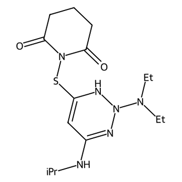 CCN(CC)N1N=C(NC(C)C)C=C(SN2C(=O)CCCC2=O)N1